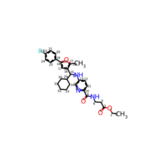 CCOC(=O)CCNC(=O)c1ccc(NC(c2cc(-c3ccc(F)cc3)oc2C)C2CCCCC2)cn1